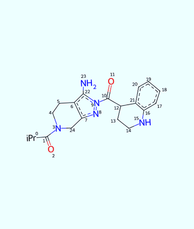 CC(C)C(=O)N1CCc2c(nn(C(=O)C3CCNc4ccccc43)c2N)C1